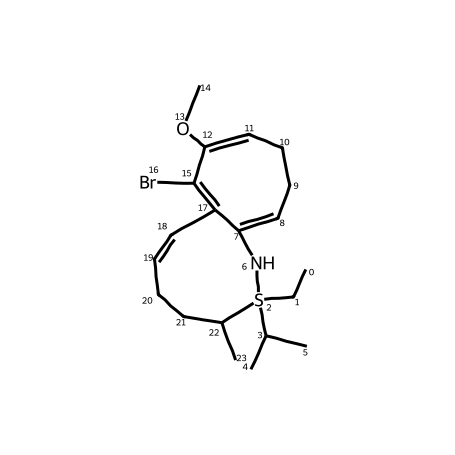 CCS1(C(C)C)N/C2=C/CCC=C(OC)/C(Br)=C2/C=C\CCC1C